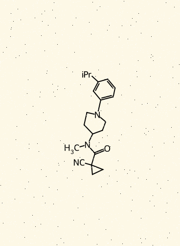 CC(C)c1cccc(N2CCC(N(C)C(=O)C3(C#N)CC3)CC2)c1